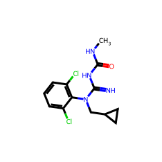 CNC(=O)NC(=N)N(CC1CC1)c1c(Cl)cccc1Cl